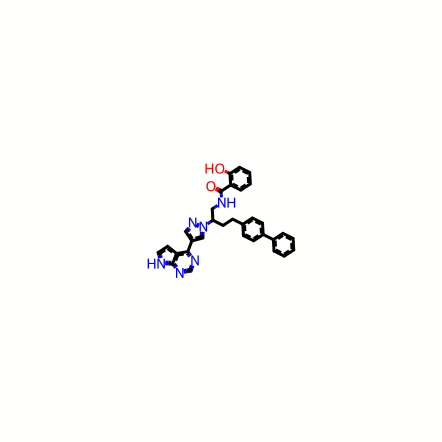 O=C(NCC(CCc1ccc(-c2ccccc2)cc1)n1cc(-c2ncnc3[nH]ccc23)cn1)c1ccccc1O